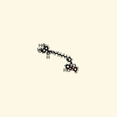 O=C(OCC1CCN(CCCCCCCCCNC[C@H](O)c2ccc(O)c3[nH]c(=O)ccc23)CC1)C(CO)(c1ccccc1)c1ccccc1